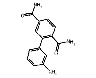 NC(=O)c1ccc(C(N)=O)c(-c2cccc(N)c2)c1